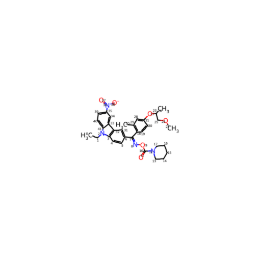 CCn1c2ccc(/C(=N/OC(=O)N3CCCCC3)c3ccc(OC(C)COC)cc3C)cc2c2cc([N+](=O)[O-])ccc21